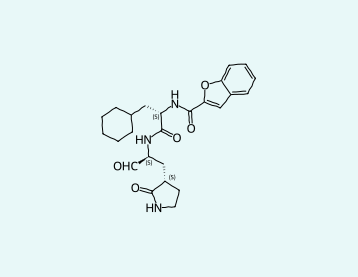 O=C[C@H](C[C@@H]1CCNC1=O)NC(=O)[C@H](CC1CCCCC1)NC(=O)c1cc2ccccc2o1